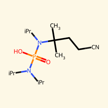 CC(C)N(C(C)C)P(=O)(O)N(C(C)C)C(C)(C)CCC#N